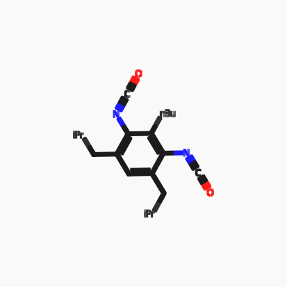 CCCCc1c(N=C=O)c(CC(C)C)cc(CC(C)C)c1N=C=O